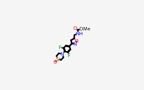 COC(=O)NCC1CC(c2cc(F)c(N3CC[S+]([O-])CC3)c(F)c2)=NO1